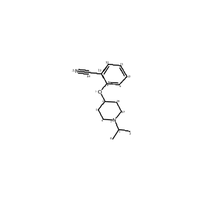 CC(C)N1CCC(Oc2ccccc2C#N)CC1